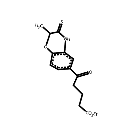 CCOC(=O)CCCC(=O)c1ccc2c(c1)NC(=S)C(C)O2